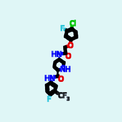 O=C(COc1ccc(Cl)c(F)c1)N[C@H]1CC[C@H](C(=O)Nc2ccc(F)c(C(F)(F)F)c2)NC1